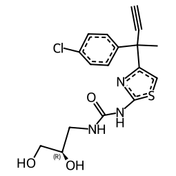 C#CC(C)(c1ccc(Cl)cc1)c1csc(NC(=O)NC[C@@H](O)CO)n1